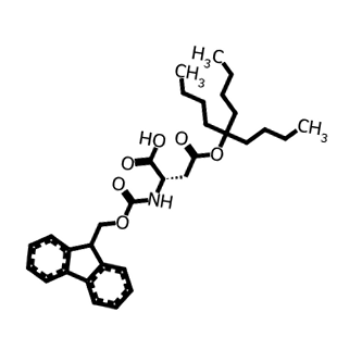 CCCCC(CCCC)(CCCC)OC(=O)C[C@H](NC(=O)OCC1c2ccccc2-c2ccccc21)C(=O)O